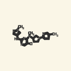 Cc1ccc(N2CCC(N(C)c3nc(Nc4cnn(C)c4)ncc3Cl)C2)nc1